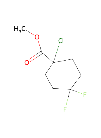 COC(=O)C1(Cl)CCC(F)(F)CC1